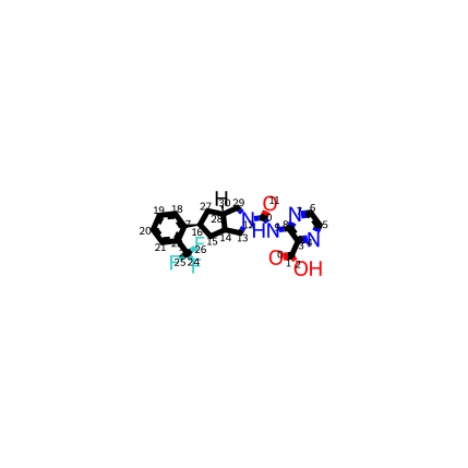 O=C(O)c1nccnc1NC(=O)N1CC2C[C@@H](c3ccccc3C(F)(F)F)C[C@H]2C1